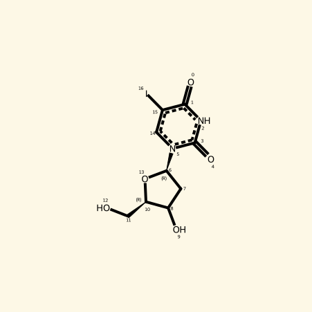 O=c1[nH]c(=O)n([C@H]2CC(O)[C@@H](CO)O2)cc1I